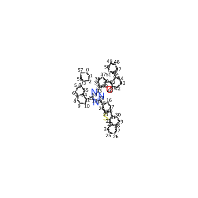 c1ccc(-c2ccc3cccc(-c4nc(-c5ccc6c(c5)sc5c7ccccc7ccc65)nc(-c5cccc6c5oc5cccc(-c7ccccc7)c56)n4)c3c2)cc1